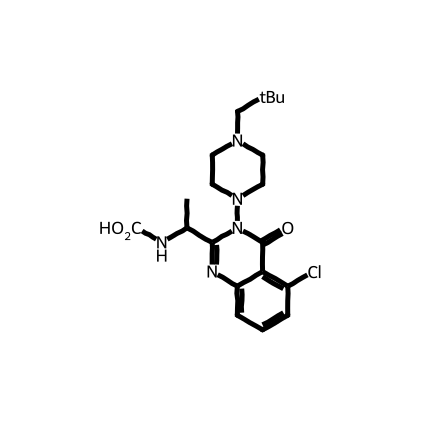 CC(NC(=O)O)c1nc2cccc(Cl)c2c(=O)n1N1CCN(CC(C)(C)C)CC1